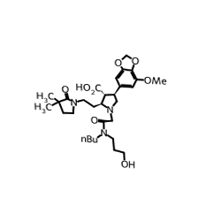 CCCCN(CCCO)C(=O)CN1C[C@H](c2cc(OC)c3c(c2)OCO3)[C@@H](C(=O)O)[C@@H]1CCN1CCC(C)(C)C1=O